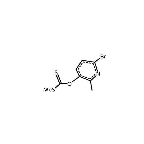 C[SH2]C(=S)Oc1ccc(Br)nc1C